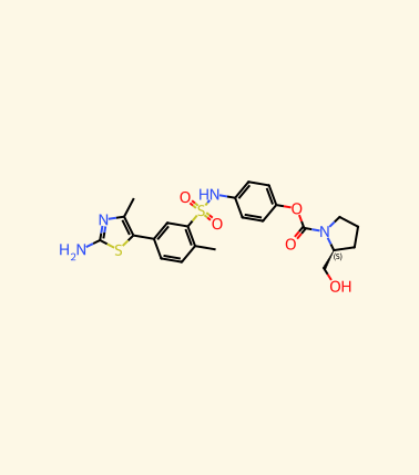 Cc1ccc(-c2sc(N)nc2C)cc1S(=O)(=O)Nc1ccc(OC(=O)N2CCC[C@H]2CO)cc1